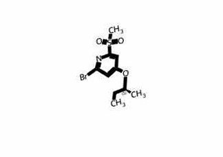 CC[C@H](C)Oc1cc(Br)nc(S(C)(=O)=O)c1